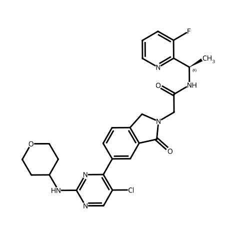 C[C@@H](NC(=O)CN1Cc2ccc(-c3nc(NC4CCOCC4)ncc3Cl)cc2C1=O)c1ncccc1F